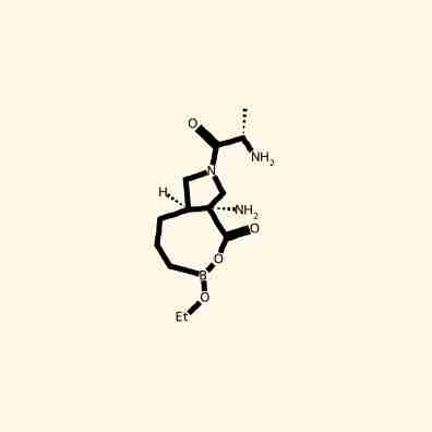 CCOB1CCC[C@H]2CN(C(=O)[C@H](C)N)C[C@@]2(N)C(=O)O1